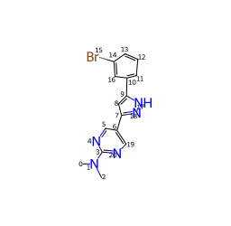 CN(C)c1ncc(-c2cc(-c3cccc(Br)c3)[nH]n2)cn1